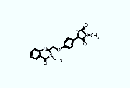 CN1C(=O)SC(c2ccc(OCc3nc4ccccc4c(=O)n3C)cc2)C1=O